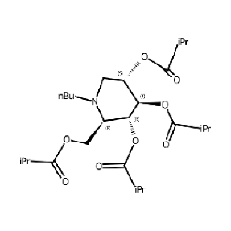 CCCCN1C[C@H](OC(=O)C(C)C)[C@@H](OC(=O)C(C)C)[C@H](OC(=O)C(C)C)[C@H]1COC(=O)C(C)C